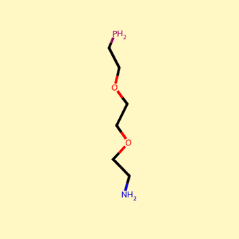 NCCOCCOCCP